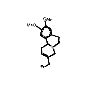 COc1cc2c(cc1OC)C1CC=C(CC(C)C)CN1CC2